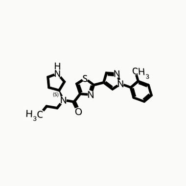 CCCN(C(=O)c1csc(-c2cnn(-c3ccccc3C)c2)n1)[C@H]1CCNC1